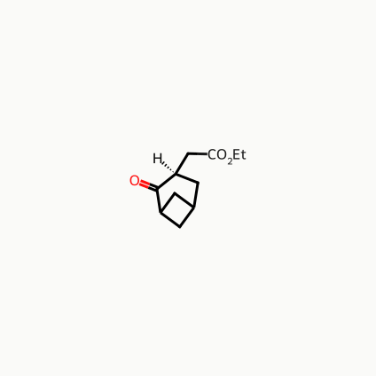 CCOC(=O)C[C@H]1CC2CC(C2)C1=O